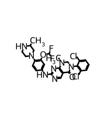 CC1CN(c2ccc(Nc3ncc4c(n3)N(C)CN(c3c(Cl)cccc3Cl)C4=O)cc2OC(F)F)CCN1